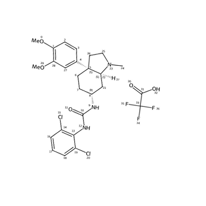 COc1ccc([C@@]23CC[C@@H](NC(=O)Nc4c(Cl)cccc4Cl)C[C@@H]2N(C)CC3)cc1OC.O=C(O)C(F)(F)F